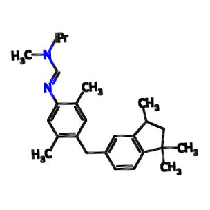 Cc1cc(N=CN(C)C(C)C)c(C)cc1Cc1ccc2c(c1)C(C)CC2(C)C